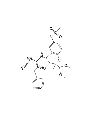 COC(OC)C1(C)Oc2ccc(OS(C)(=O)=O)cc2C(NC(=NCc2ccccc2)NC#N)C1O